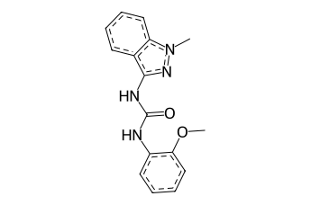 COc1ccccc1NC(=O)Nc1nn(C)c2ccccc12